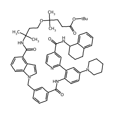 CC(C)(CCOC(C)(C)CCC(=O)OC(C)(C)C)NC(=O)c1cccc2c1ccn2Cc1cccc(C(=O)Nc2ccc(N3CCCCC3)cc2-c2cc(C(=O)NC3CCCc4ccccc43)ccn2)c1